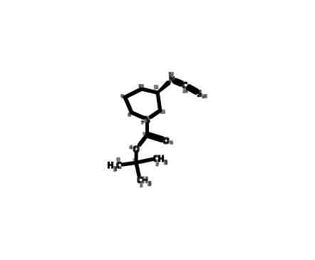 CC(C)(C)OC(=O)N1CCC[C@@H](N=C=S)C1